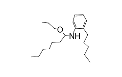 CCCCCCC(Nc1ccccc1CCCCC)OCCC